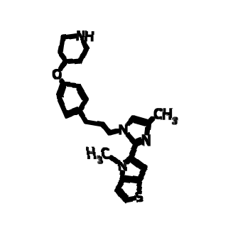 Cc1cn(CCCc2ccc(OC3CCNCC3)cc2)c(-c2cc3sccc3n2C)n1